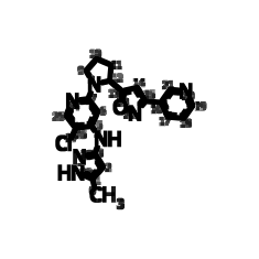 Cc1cc(Nc2cc(N3CCCC3c3cc(-c4cccnc4)no3)ncc2Cl)n[nH]1